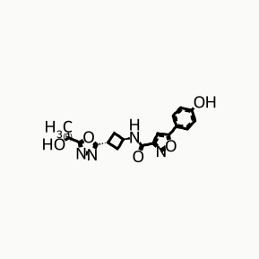 C[C@@H](O)c1nnc([C@H]2C[C@H](NC(=O)c3cc(-c4ccc(O)cc4)on3)C2)o1